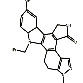 CC(C)CN1c2c3c(c4c(c2C2C=C(O)C=CC21)CNC4=O)-c1cnn(C)c1CC3